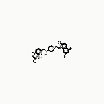 O=C1COc2ccc(CNC3CCN(CCn4c(=O)ccc5c(F)cc(F)cc54)CC3)nc2N1